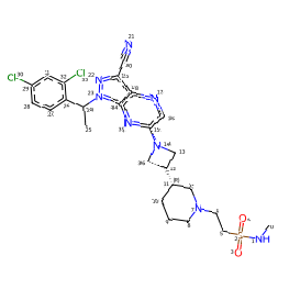 CNS(=O)(=O)CCN1CCC[C@H](C2CN(c3cnc4c(C#N)nn(C(C)c5ccc(Cl)cc5Cl)c4n3)C2)C1